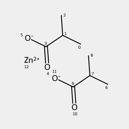 CC(C)C(=O)[O-].CC(C)C(=O)[O-].[Zn+2]